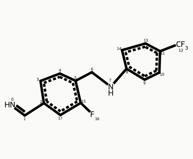 N=Cc1ccc(CNc2ccc(C(F)(F)F)cc2)c(F)c1